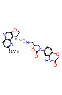 COc1ccc2ncc3c(c2n1)[C@@H](CCNCC1CN(c2ccc4c(c2)NC(=O)CO4)C(=O)O1)CO3